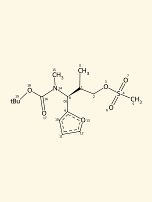 CC(COS(C)(=O)=O)[C@@H](c1ccco1)N(C)C(=O)OC(C)(C)C